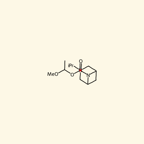 COC(C)OC(=O)N1C2CC1CN(C(C)C)C2